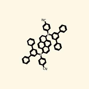 N#Cc1ccc(N(c2cc(C3=CC=CCC3)cc(-c3ccccc3)c2)c2ccc3ccc4c5c(ccc2c35)=CCC4N(c2ccc(C#N)cc2)c2cc(-c3ccccc3)cc(-c3ccccc3)c2)cc1